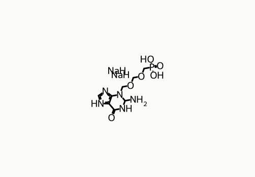 NC1NC(=O)c2[nH]cnc2N1COCOCP(=O)(O)O.[NaH].[NaH]